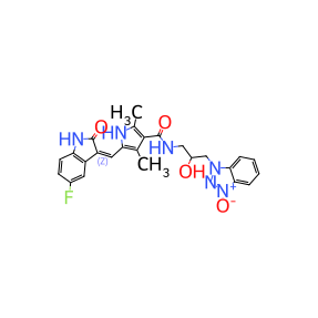 Cc1[nH]c(/C=C2\C(=O)Nc3ccc(F)cc32)c(C)c1C(=O)NCC(O)Cn1n[n+]([O-])c2ccccc21